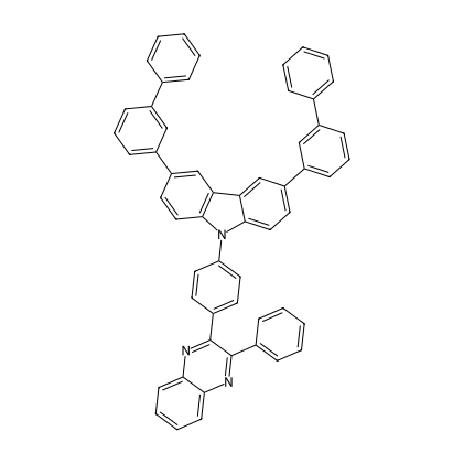 c1ccc(-c2cccc(-c3ccc4c(c3)c3cc(-c5cccc(-c6ccccc6)c5)ccc3n4-c3ccc(-c4nc5ccccc5nc4-c4ccccc4)cc3)c2)cc1